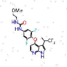 COCCNC(=O)Nc1cc(F)c(Oc2ccnc3[nH]cc(C(C)C(F)(F)F)c23)c(F)c1